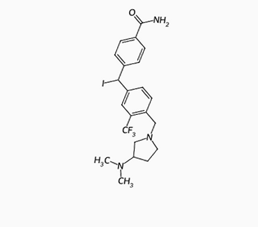 CN(C)C1CCN(Cc2ccc(C(I)c3ccc(C(N)=O)cc3)cc2C(F)(F)F)C1